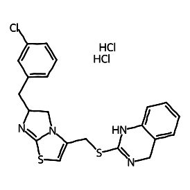 Cl.Cl.Clc1cccc(CC2CN3C(CSC4=NCc5ccccc5N4)=CSC3=N2)c1